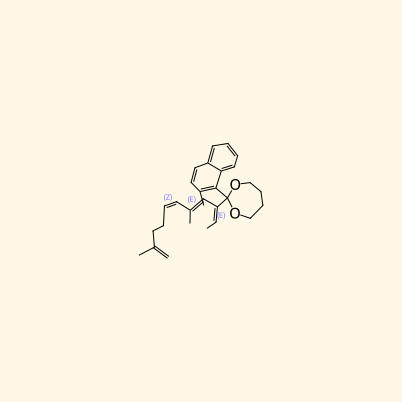 C=C(C)CC\C=C/C(C)=C/C(=C\C)C1(c2c(C)ccc3ccccc23)OCCCCO1